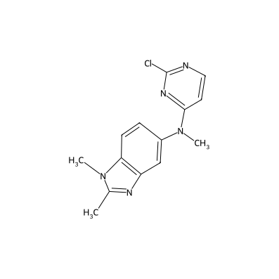 Cc1nc2cc(N(C)c3ccnc(Cl)n3)ccc2n1C